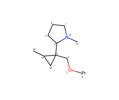 CC(C)OCC1(C2CCCN2C)CC1C